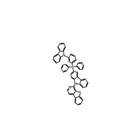 c1ccc(S(c2ccccc2)(c2cccc(-n3c4ccccc4c4ccccc43)c2)c2ccc3c(c2)c2ccccc2n3-c2nccc3c2sc2ccccc23)cc1